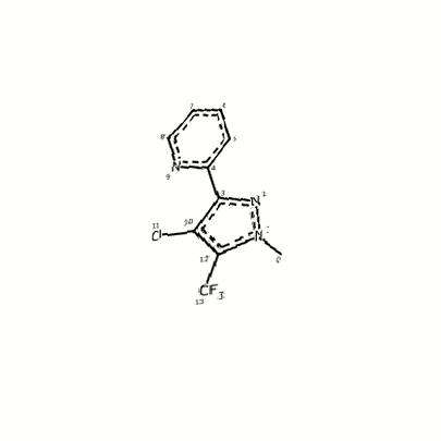 Cn1nc(-c2ccccn2)c(Cl)c1C(F)(F)F